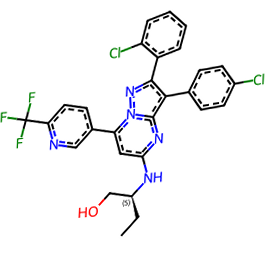 CC[C@@H](CO)Nc1cc(-c2ccc(C(F)(F)F)nc2)n2nc(-c3ccccc3Cl)c(-c3ccc(Cl)cc3)c2n1